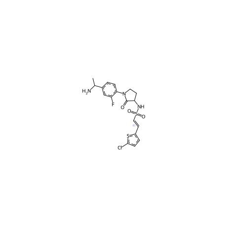 CC(N)c1ccc(N2CCC(NS(=O)(=O)/C=C/c3ccc(Cl)s3)C2=O)c(F)c1